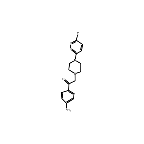 Nc1ccc(C(=O)CN2CCN(c3ccc(Cl)nn3)CC2)cc1